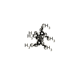 CCCOc1cc(OCCC)c(OBOc2c(OCCC)cc(OCCC)cc2OCCC)c(OCCC)c1